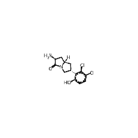 N[C@H]1C[C@@H]2C[C@H](c3c(O)ccc(Cl)c3Cl)CN2C1=O